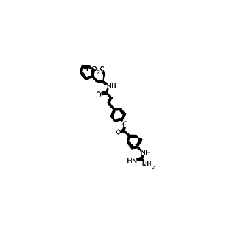 N=C(N)Nc1ccc(C(=O)Oc2ccc(CCC(=O)N[C@H](CC(=O)O)Cc3ccccc3)cc2)cc1